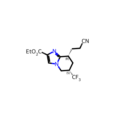 CCOC(=O)c1cn2c(n1)[C@H](CCC#N)C[C@H](C(F)(F)F)C2